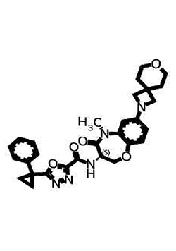 CN1C(=O)[C@@H](NC(=O)c2nnc(C3(c4ccccc4)CC3)o2)COc2ccc(N3CC4(CCOCC4)C3)cc21